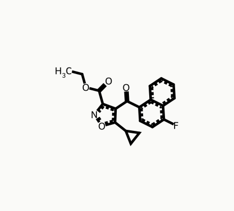 CCOC(=O)c1noc(C2CC2)c1C(=O)c1ccc(F)c2ccccc12